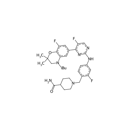 CCC(C)N1CC(C)(C)Oc2c(F)cc(-c3nc(Nc4ccc(CN5CCC(C(N)=O)CC5)c(F)c4)ncc3F)cc21